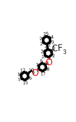 FC(F)(F)c1cc(Oc2ccc(OCc3ccccc3)cc2)ccc1-c1[c]cccc1